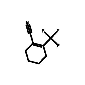 N#CC1=C(C(F)(F)F)CCCC1